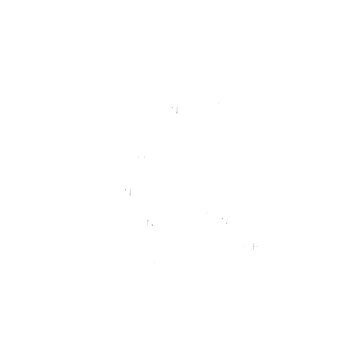 CN(C)c1cccc(Oc2cc3c(cc2NC(=O)O)N2C(=O)CCC2(C)NC3=O)c1